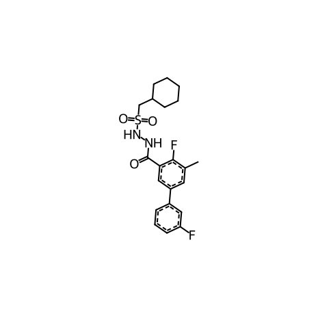 Cc1cc(-c2cccc(F)c2)cc(C(=O)NNS(=O)(=O)CC2CCCCC2)c1F